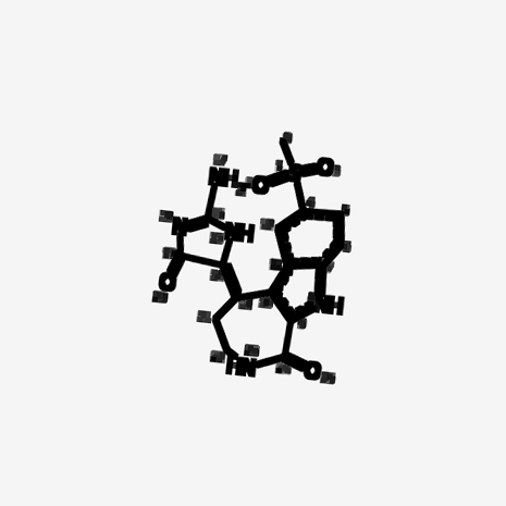 CS(=O)(=O)c1ccc2[nH]c3c(c2c1)/C(=C1\NC(N)=NC1=O)CCNC3=O